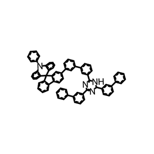 c1ccc(-c2cccc(C3=NC(c4cccc(-c5ccccc5)c4)NC(c4cccc(-c5cccc(-c6ccc7c(c6)C6(c8ccccc8-7)c7ccccc7N(c7ccccc7)c7ccccc76)c5)c4)=N3)c2)cc1